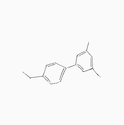 C[CH]c1ccc(-c2cc(C)cc(C)c2)cc1